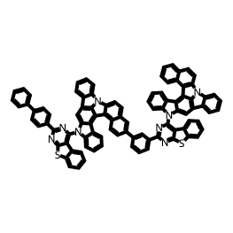 c1ccc(-c2ccc(-c3nc(-n4c5ccccc5c5c6c7c8ccc(-c9cccc(-c%10nc(-n%11c%12ccccc%12c%12c%13c%14c%15ccccc%15ccc%14n%14c%15ccccc%15c(cc%12%11)c%13%14)c%11c(n%10)sc%10ccccc%10%11)c9)cc8ccc7n7c8ccccc8c(cc54)c67)c4c(n3)sc3ccccc34)cc2)cc1